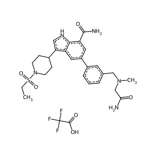 CCS(=O)(=O)N1CCC(c2c[nH]c3c(C(N)=O)cc(-c4cccc(CN(C)CC(N)=O)c4)cc23)CC1.O=C(O)C(F)(F)F